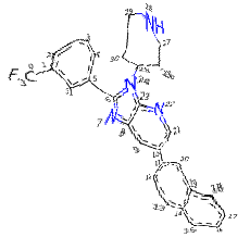 FC(F)(F)c1cccc(-c2nc3cc(-c4ccc5ccccc5c4)cnc3n2C2CCNCC2)c1